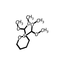 COC(OC)[Si]1(C(OC)OC)CCCCO1